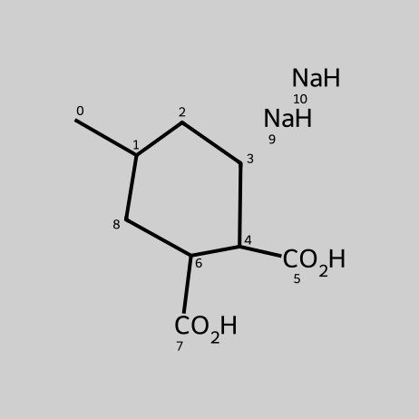 CC1CCC(C(=O)O)C(C(=O)O)C1.[NaH].[NaH]